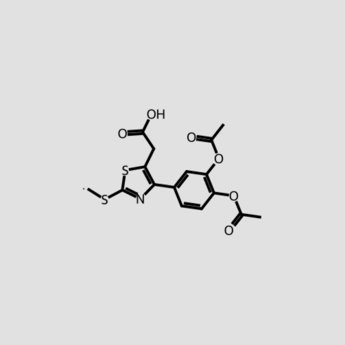 [CH2]Sc1nc(-c2ccc(OC(C)=O)c(OC(C)=O)c2)c(CC(=O)O)s1